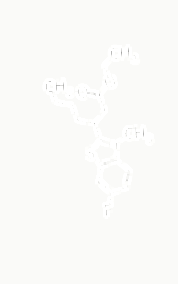 CCCCC(CC(=O)OCC)c1sc2cc(F)ccc2c1C